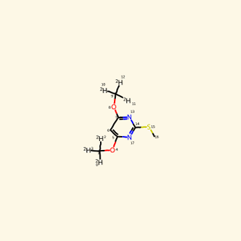 [2H]C([2H])([2H])Oc1cc(OC([2H])([2H])[2H])nc(SC)n1